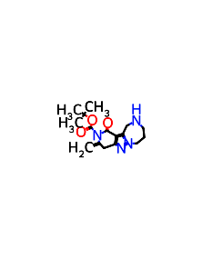 C=C1Cc2nn3c(c2C(=O)N1C(=O)OC(C)(C)C)CNCCC3